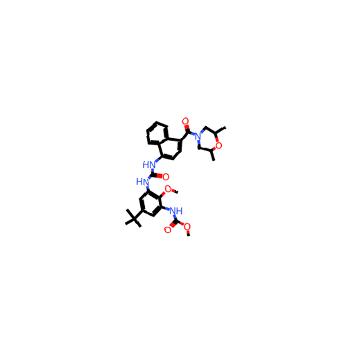 COC(=O)Nc1cc(C(C)(C)C)cc(NC(=O)Nc2ccc(C(=O)N3CC(C)OC(C)C3)c3ccccc23)c1OC